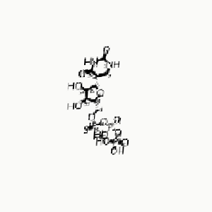 O=c1[nH]cc([C@@H]2O[C@H](COP(O)(=S)OP(=O)(O)OP(=O)(O)O)C(O)C2O)c(=O)[nH]1